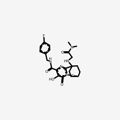 CN(C)C(=O)CNC12CCC(CC1)Cn1c2nc(C(=O)NCc2ccc(F)cc2)c(O)c1=O